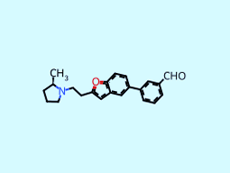 C[C@@H]1CCCN1CCc1cc2cc(-c3cccc(C=O)c3)ccc2o1